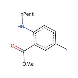 CCCCCNc1ccc(C)cc1C(=O)OC